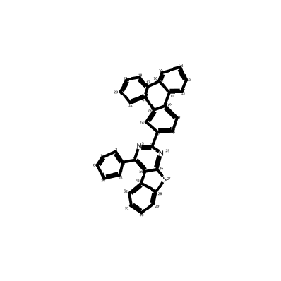 c1ccc(-c2nc(-c3ccc4c5ccccc5c5ccccc5c4c3)nc3sc4ccccc4c23)cc1